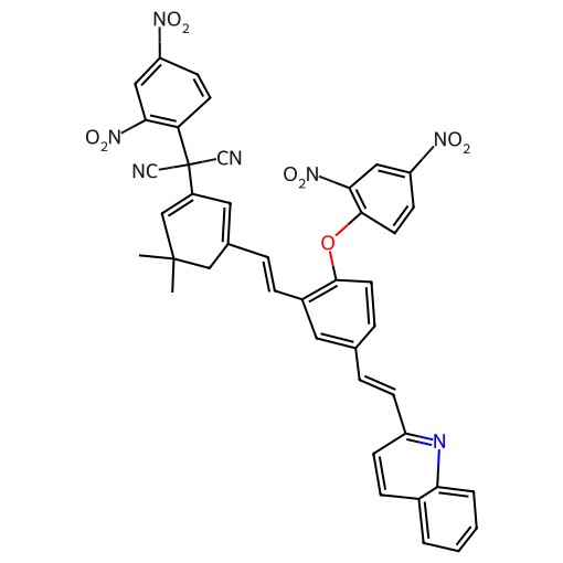 CC1(C)C=C(C(C#N)(C#N)c2ccc([N+](=O)[O-])cc2[N+](=O)[O-])C=C(/C=C/c2cc(/C=C/c3ccc4ccccc4n3)ccc2Oc2ccc([N+](=O)[O-])cc2[N+](=O)[O-])C1